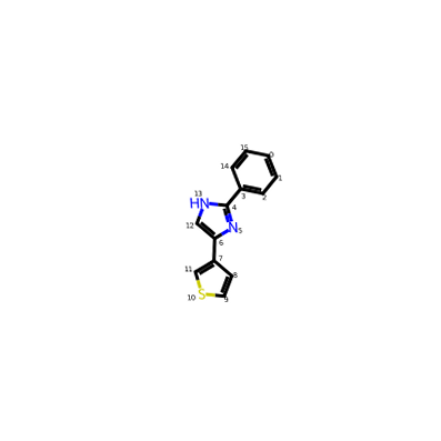 c1ccc(-c2nc(-c3ccsc3)c[nH]2)cc1